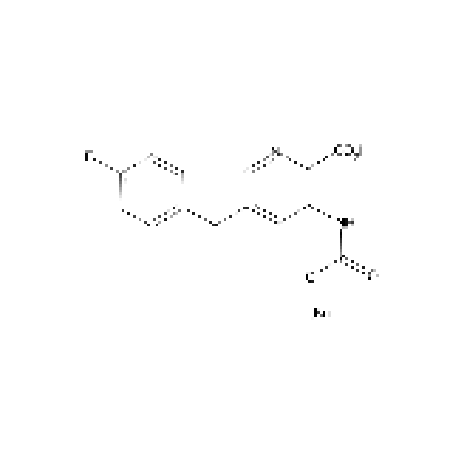 CC(C)(C)OC(=O)Nc1cc(Cc2ccc(F)cc2)cnc1C(=O)O